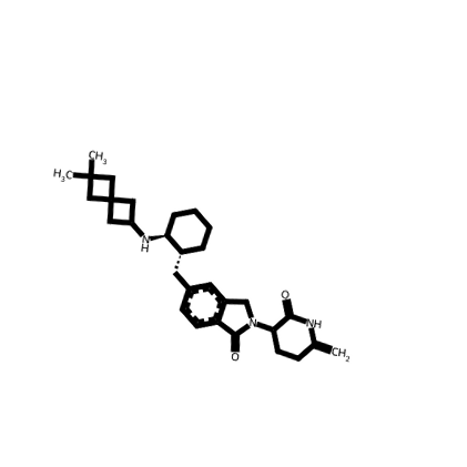 C=C1CCC(N2Cc3cc(C[C@H]4CCCC[C@@H]4NC4CC5(C4)CC(C)(C)C5)ccc3C2=O)C(=O)N1